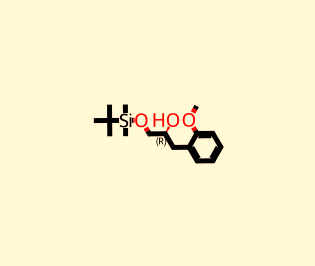 COc1ccccc1C[C@@H](O)CO[Si](C)(C)C(C)(C)C